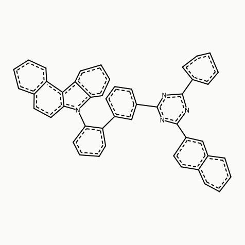 c1ccc(-c2nc(-c3cccc(-c4ccccc4-n4c5ccccc5c5c6ccccc6ccc54)c3)nc(-c3ccc4ccccc4c3)n2)cc1